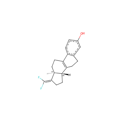 C[C@]12CCC3=C(CCc4cc(O)ccc43)[C@@H]1CCC2=C(F)F